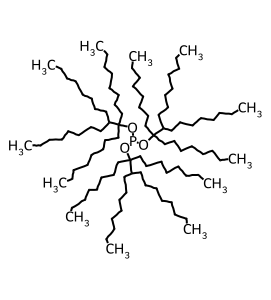 CCCCCCCCC(CCCCCCCC)C(CCCCCCCC)(CCCCCCCC)OP(OC(CCCCCCCC)(CCCCCCCC)C(CCCCCCCC)CCCCCCCC)OC(CCCCCCCC)(CCCCCCCC)C(CCCCCCCC)CCCCCCCC